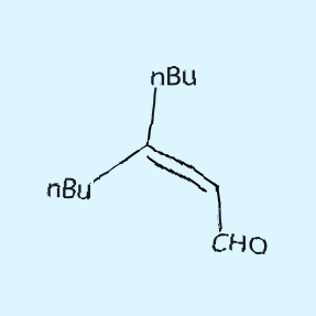 CCCCC(=CC=O)CCCC